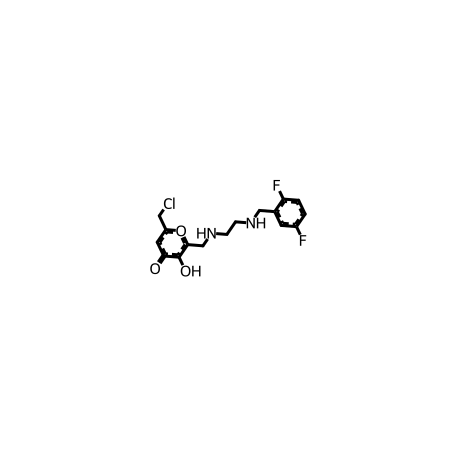 O=c1cc(CCl)oc(CNCCNCc2cc(F)ccc2F)c1O